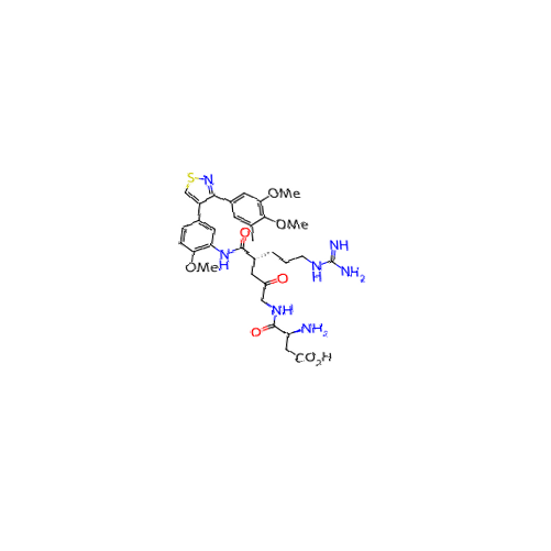 COc1ccc(-c2csnc2-c2cc(C)c(OC)c(OC)c2)cc1NC(=O)[C@H](CCCNC(=N)N)CC(=O)CNC(=O)[C@@H](N)CC(=O)O